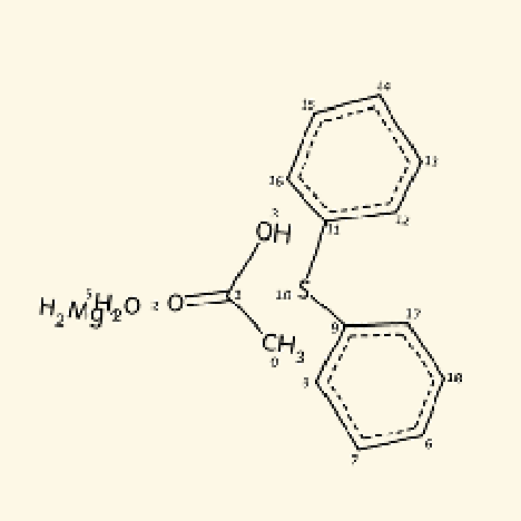 CC(=O)O.O.[MgH2].c1ccc(Sc2ccccc2)cc1